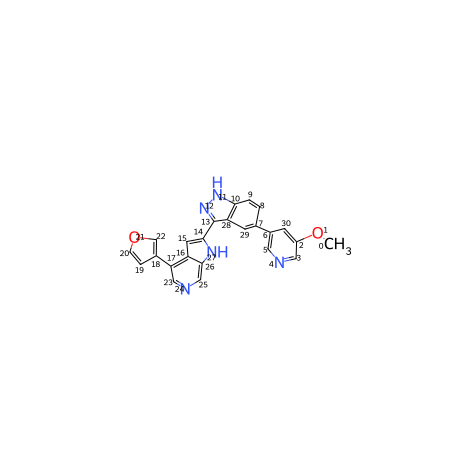 COc1cncc(-c2ccc3[nH]nc(-c4cc5c(-c6ccoc6)cncc5[nH]4)c3c2)c1